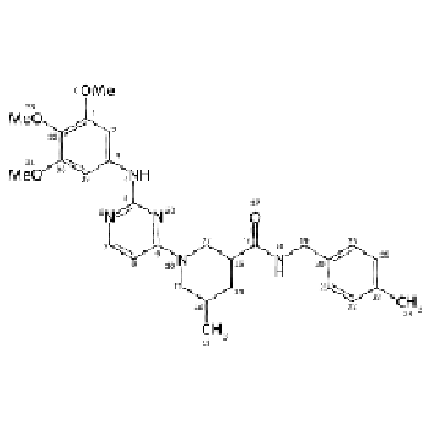 COc1cc(Nc2nccc(N3CC(C)CC(C(=O)NCc4ccc(C)cc4)C3)n2)cc(OC)c1OC